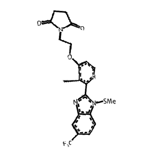 CSn1c(-c2nccc(OCCN3C(=O)CCC3=O)c2C)nc2cc(C(F)(F)F)ccc21